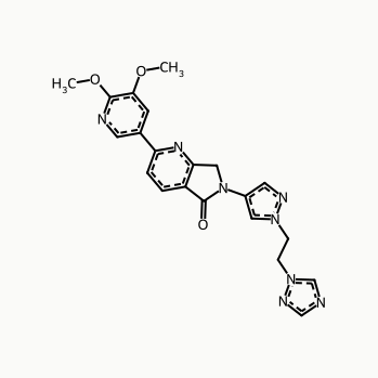 COc1cc(-c2ccc3c(n2)CN(c2cnn(CCn4cncn4)c2)C3=O)cnc1OC